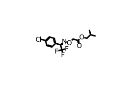 CC(C)COC(=O)CON=C(c1ccc(Cl)cc1)C(F)(F)F